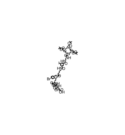 CC(C)(C)OC(=O)CN1CCN(CC(=O)NCCNC(=O)c2cc(I)cc(C(=O)NCCCCC(=O)N(CCCC[C@H](NC(=O)N[C@@H](CCC(=O)O)C(=O)O)C(=O)O)Cc3ccc(Br)cc3)c2)CCN(CC(=O)OC(C)(C)C)CCN(CC(=O)OC(C)(C)C)CC1